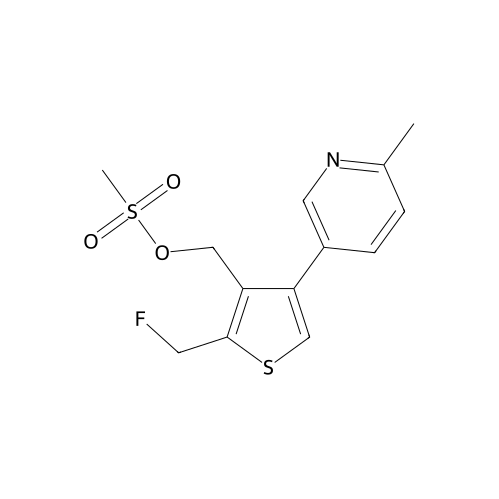 Cc1ccc(-c2csc(CF)c2COS(C)(=O)=O)cn1